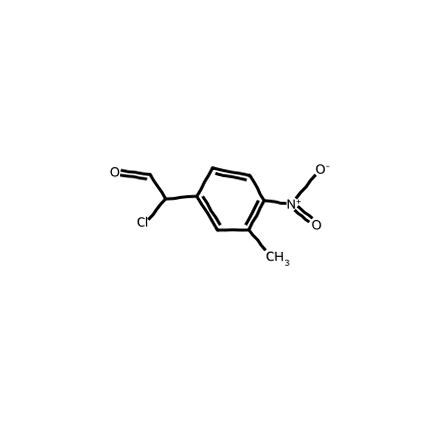 Cc1cc(C(Cl)C=O)ccc1[N+](=O)[O-]